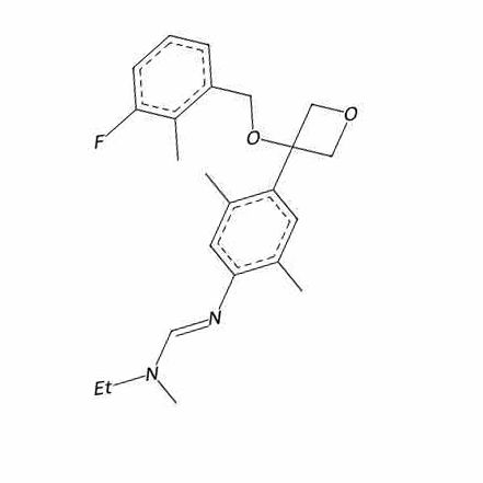 CCN(C)C=Nc1cc(C)c(C2(OCc3cccc(F)c3C)COC2)cc1C